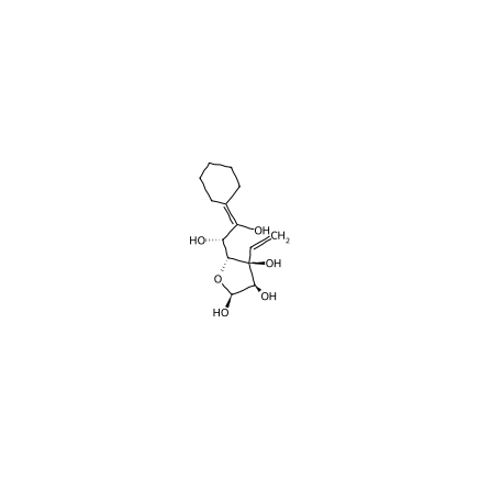 C=C[C@@]1(O)[C@@H]([C@H](O)C(O)=C2CCCCC2)O[C@H](O)[C@@H]1O